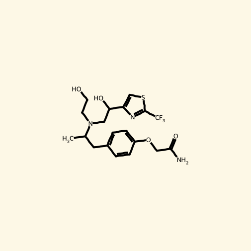 CC(Cc1ccc(OCC(N)=O)cc1)N(CCO)CC(O)c1csc(C(F)(F)F)n1